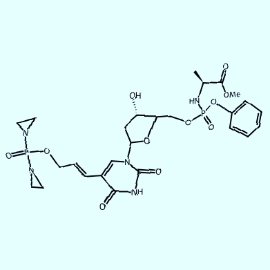 COC(=O)[C@H](C)NP(=O)(OCC1OC(n2cc(/C=C/COP(=O)(N3CC3)N3CC3)c(=O)[nH]c2=O)C[C@@H]1O)Oc1ccccc1